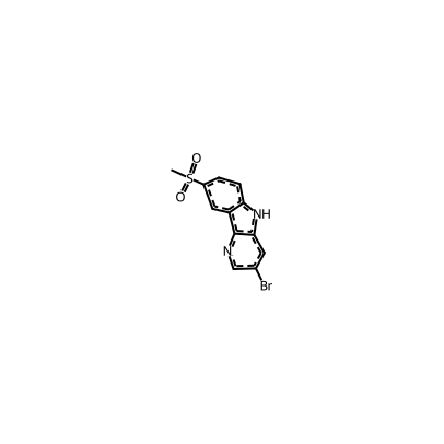 CS(=O)(=O)c1ccc2[nH]c3cc(Br)cnc3c2c1